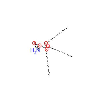 CCCCCCCCCCCCCCCCCCOC1CC(COc2cc(OC)ccc2CN)CC(OCCCCCCCCCCCCCCCCCC)C1OCCCCCCCCCCCCCCCCCC